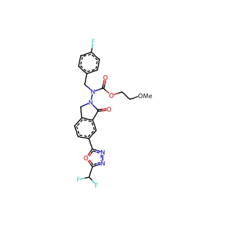 COCCOC(=O)N(Cc1ccc(F)cc1)N1Cc2ccc(-c3nnc(C(F)F)o3)cc2C1=O